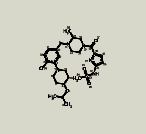 CC(C)OC1CCN(c2cc(CN3CCN(C(=O)n4ccc(NS(C)(=O)=O)n4)CC3C)ccc2Cl)CC1